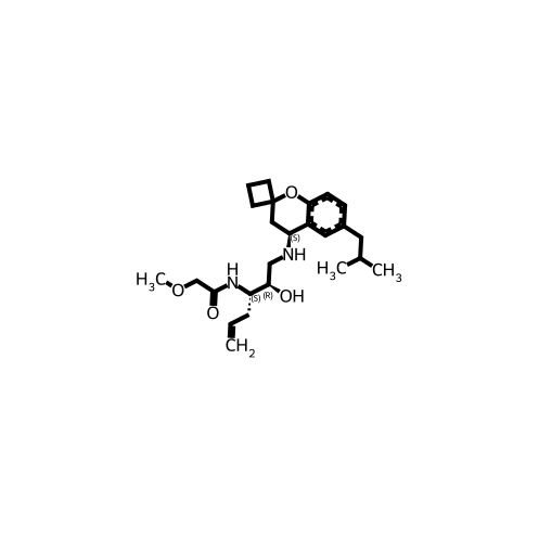 C=CC[C@H](NC(=O)COC)[C@H](O)CN[C@H]1CC2(CCC2)Oc2ccc(CC(C)C)cc21